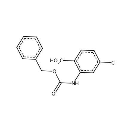 O=C(Nc1cc(Cl)ccc1C(=O)O)OCc1ccccc1